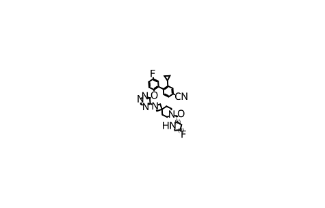 N#Cc1ccc(-c2cc(F)ccc2Oc2nncnc2N2CC3(CCN(C(=O)[C@@H]4C[C@@H](F)CN4)CC3)C2)c(C2CC2)c1